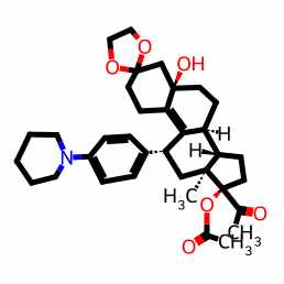 CC(=O)O[C@]1(C(C)=O)CC[C@H]2[C@@H]3CC[C@@]4(O)CC5(CCC4=C3[C@@H](c3ccc(N4CCCCC4)cc3)C[C@@]21C)OCCO5